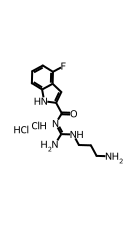 Cl.Cl.NCCCNC(N)=NC(=O)c1cc2c(F)cccc2[nH]1